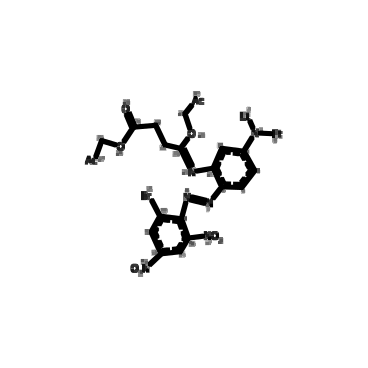 CCN(CC)c1ccc(N=Nc2c(Br)cc([N+](=O)[O-])cc2[N+](=O)[O-])c(N=C(CCC(=O)OCC(C)=O)OCC(C)=O)c1